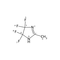 CC1=NC(F)(F)C(F)(F)N1